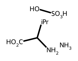 CC(C)C(N)C(=O)O.N.O=S(=O)(O)O